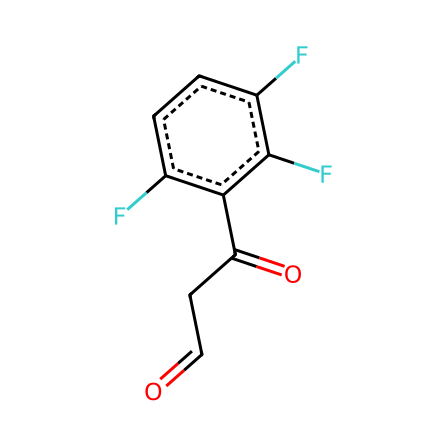 O=CCC(=O)c1c(F)ccc(F)c1F